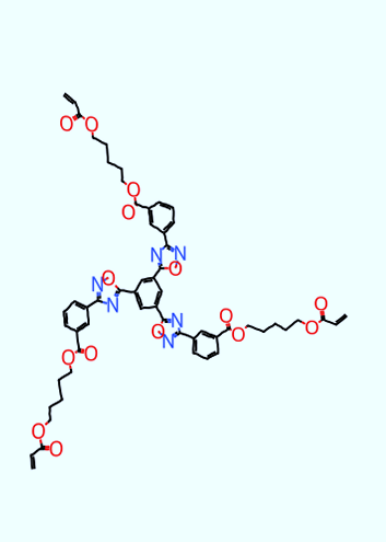 C=CC(=O)OCCCCCOC(=O)c1cccc(-c2noc(-c3cc(-c4nc(-c5cccc(C(=O)OCCCCCOC(=O)C=C)c5)no4)cc(-c4nc(-c5cccc(C(=O)OCCCCCOC(=O)C=C)c5)no4)c3)n2)c1